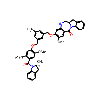 CNc1cc(OCc2cc(COc3cc4c(cc3OC)C(=O)N3c5ccccc5CC3CN4)cc([N+](=O)[O-])c2)c(OC)cc1C(=O)N1c2ccccc2C[C@H]1C